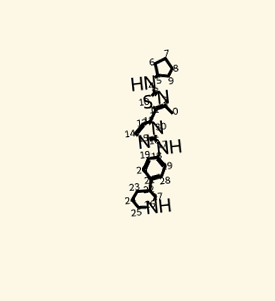 Cc1nc(NC2CCCC2)sc1-c1ccnc(Nc2ccc(C3CCCNC3)cc2)n1